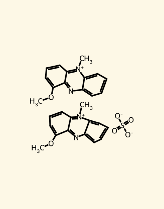 COc1cccc2c1nc1ccccc1[n+]2C.COc1cccc2c1nc1ccccc1[n+]2C.O=S(=O)([O-])[O-]